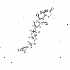 O=C1CCC(N2C(=O)c3ccc(N4CCC5(CCN(CC6CNC6)CC5)CC4)cc3C2=O)C(=O)N1